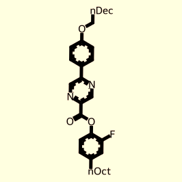 CCCCCCCCCCCOc1ccc(-c2cnc(C(=O)Oc3ccc(CCCCCCCC)cc3F)cn2)cc1